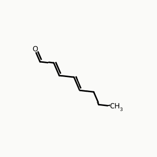 CCCC=CC=CC=O